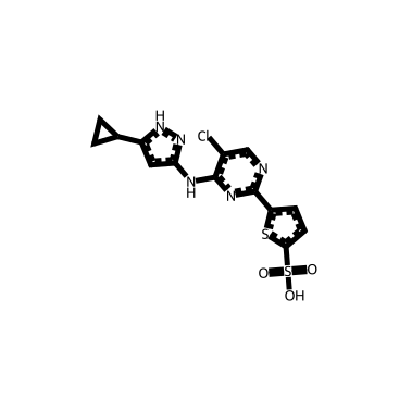 O=S(=O)(O)c1ccc(-c2ncc(Cl)c(Nc3cc(C4CC4)[nH]n3)n2)s1